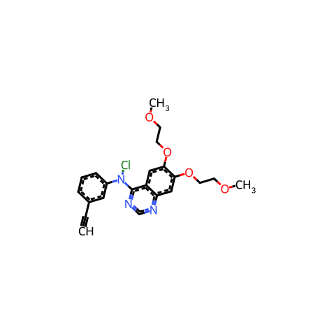 C#Cc1cccc(N(Cl)c2ncnc3cc(OCCOC)c(OCCOC)cc23)c1